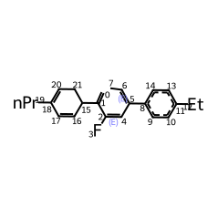 C=C(/C(F)=C\C(=C/C)c1ccc(CC)cc1)C1C=CC(CCC)=CC1